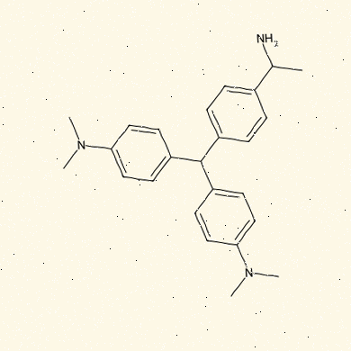 CC(N)c1ccc(C(c2ccc(N(C)C)cc2)c2ccc(N(C)C)cc2)cc1